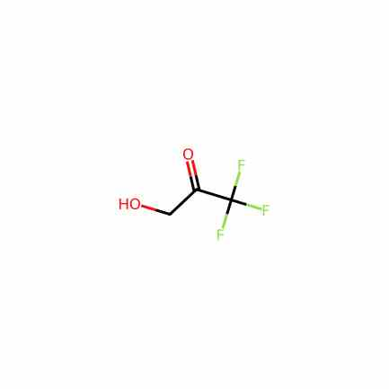 O=C(CO)C(F)(F)F